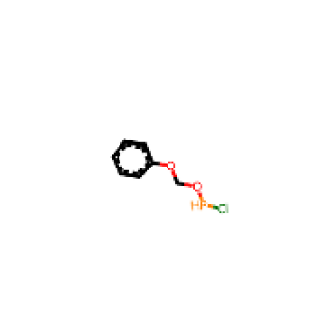 ClPOCOc1ccccc1